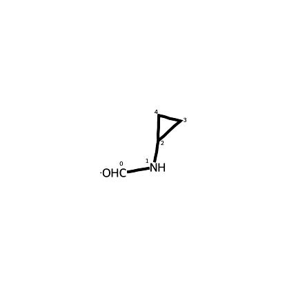 O=[C]NC1CC1